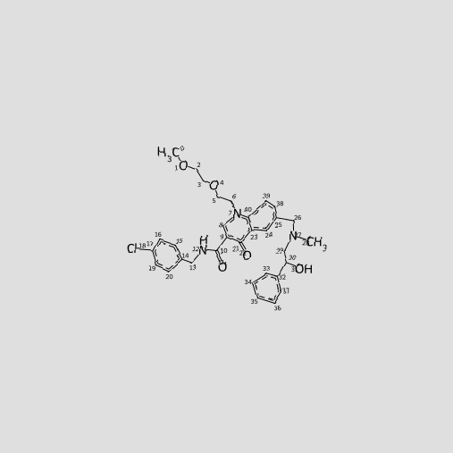 COCCOCCn1cc(C(=O)NCc2ccc(Cl)cc2)c(=O)c2cc(CN(C)CC(O)c3ccccc3)ccc21